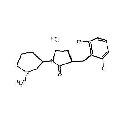 CN1CCCC(N2CCC(Cc3c(Cl)cccc3Cl)C2=O)C1.Cl